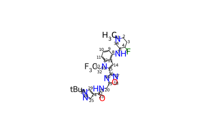 CN1CC[C@@H](F)[C@@H](Nc2cccc3c2cc(-c2noc(CNC(=O)c4cnn(C(C)(C)C)c4)n2)n3CC(F)(F)F)C1